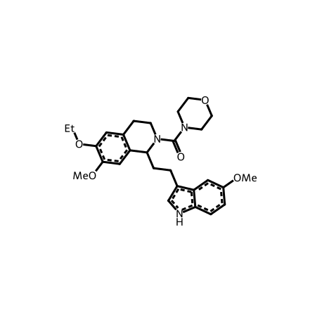 CCOc1cc2c(cc1OC)C(CCc1c[nH]c3ccc(OC)cc13)N(C(=O)N1CCOCC1)CC2